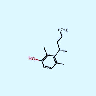 CCCCCCCCCC[C@H](C)c1c(C)ccc(O)c1C